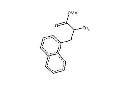 COC(=O)C(C)Cc1cccc2ccccc12